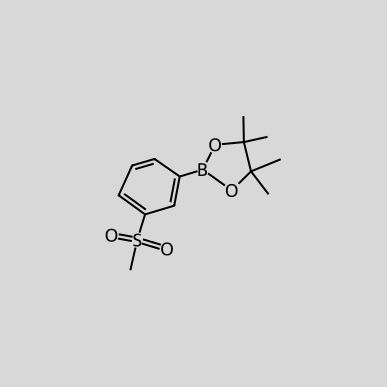 CC1(C)OB(c2cccc(S(C)(=O)=O)c2)OC1(C)C